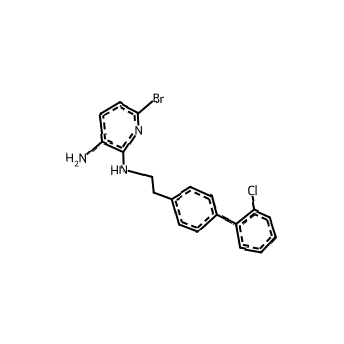 Nc1ccc(Br)nc1NCCc1ccc(-c2ccccc2Cl)cc1